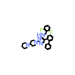 Fc1cccc(F)c1CNc1nc(N2CCC(N3CCCCC3)CC2)ncc1-c1ccccc1-c1ccccc1